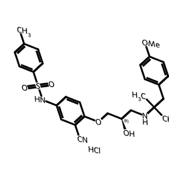 COc1ccc(CC(C)(C)NC[C@@H](O)COc2ccc(NS(=O)(=O)c3ccc(C)cc3)cc2C#N)cc1.Cl